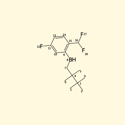 CC(C)(C)C(C)(C)CBc1cc(F)ccc1C(F)F